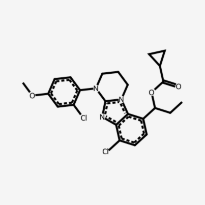 CCC(OC(=O)C1CC1)c1ccc(Cl)c2nc3n(c12)CCCN3c1ccc(OC)cc1Cl